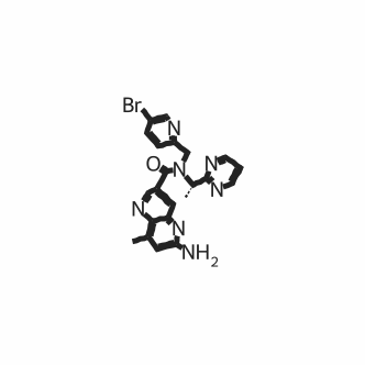 Cc1cc(N)nc2cc(C(=O)N(Cc3ccc(Br)cn3)[C@@H](C)c3ncccn3)cnc12